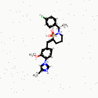 COc1cc(/C=C2\CCCN([C@@H](C)c3ccc(F)cc3)S2(=O)=O)ccc1-n1cnc(C)c1